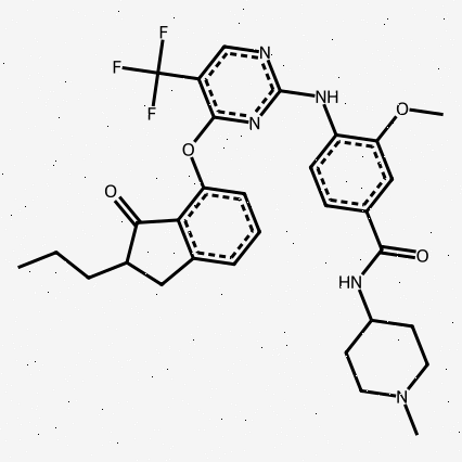 CCCC1Cc2cccc(Oc3nc(Nc4ccc(C(=O)NC5CCN(C)CC5)cc4OC)ncc3C(F)(F)F)c2C1=O